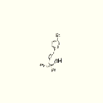 CCc1ccc(CO[C@@H](C(C)C)[C@H](O)C(C)C)cc1